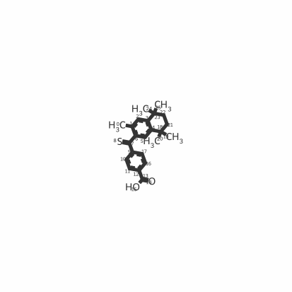 Cc1cc2c(cc1C(=S)c1ccc(C(=O)O)cc1)C(C)(C)CCC2(C)C